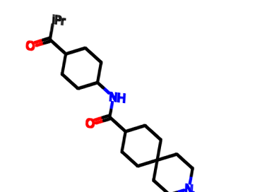 CCN1CCC2(CCC(C(=O)NC3CCC(C(=O)C(C)C)CC3)CC2)CC1